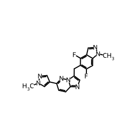 Cn1cc(-c2ccc3ncc(Cc4c(F)cc5c(cnn5C)c4F)n3n2)cn1